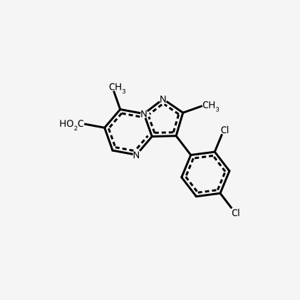 Cc1nn2c(C)c(C(=O)O)cnc2c1-c1ccc(Cl)cc1Cl